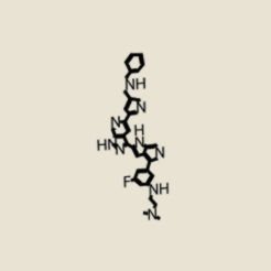 CN(C)CCNc1cc(F)cc(-c2cncc3[nH]c(-c4n[nH]c5cnc(-c6cncc(CNCc7ccccc7)c6)cc45)cc23)c1